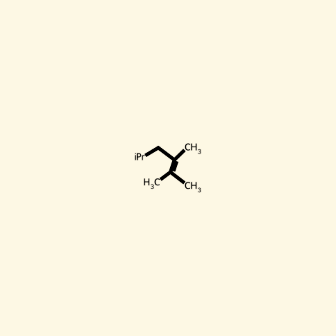 CC(C)=C(C)CC(C)C